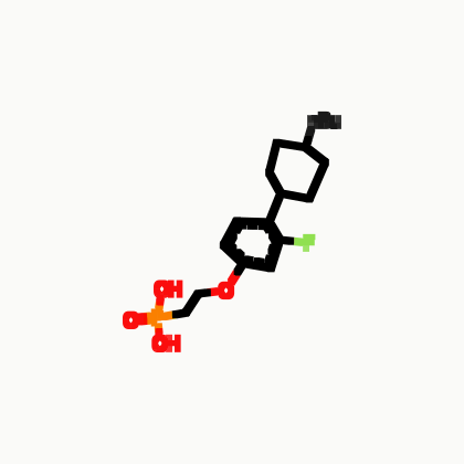 CCCCC1CCC(c2ccc(OCCP(=O)(O)O)cc2F)CC1